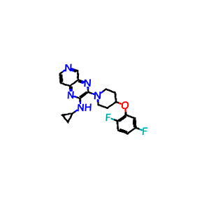 Fc1ccc(F)c(OC2CCN(c3nc4cnccc4nc3NC3CC3)CC2)c1